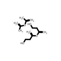 C=C(C)OC(=C)C.C=C(CCO)OC(=C)CCO